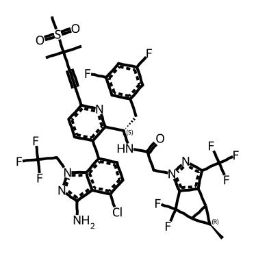 C[C@@H]1C2c3c(C(F)(F)F)nn(CC(=O)N[C@@H](Cc4cc(F)cc(F)c4)c4nc(C#CC(C)(C)S(C)(=O)=O)ccc4-c4ccc(Cl)c5c(N)nn(CC(F)(F)F)c45)c3C(F)(F)C21